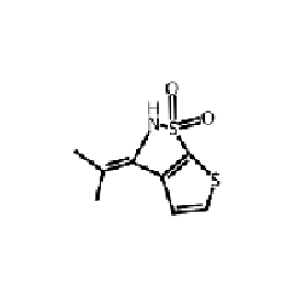 CC(C)=C1NS(=O)(=O)c2sccc21